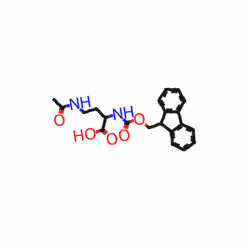 CC(=O)NCCC(NC(=O)OCC1c2ccccc2-c2ccccc21)C(=O)O